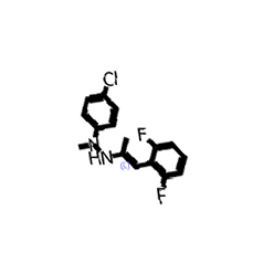 C/C(=C\c1c(F)cccc1F)NN(C)c1ccc(Cl)cc1